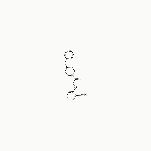 N#Cc1ccccc1OCC(=O)N1CCN(Cc2ccccc2)CC1